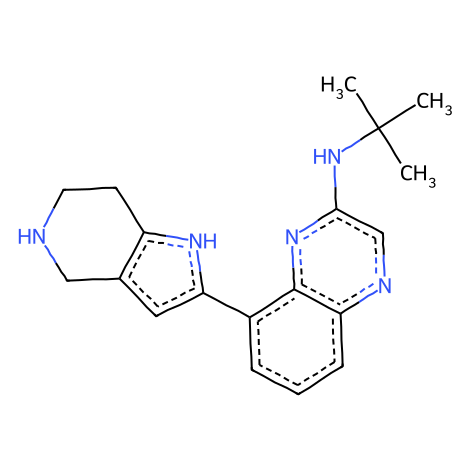 CC(C)(C)Nc1cnc2cccc(-c3cc4c([nH]3)CCNC4)c2n1